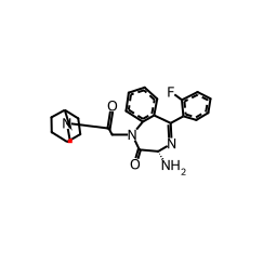 N[C@H]1N=C(c2ccccc2F)c2ccccc2N(CC(=O)N2CC3CCC(CC3)C2)C1=O